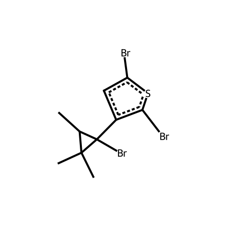 CC1C(C)(C)C1(Br)c1cc(Br)sc1Br